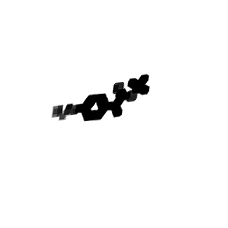 CC(C(=O)OC(C)(C)C)c1ccc([AsH2])cc1